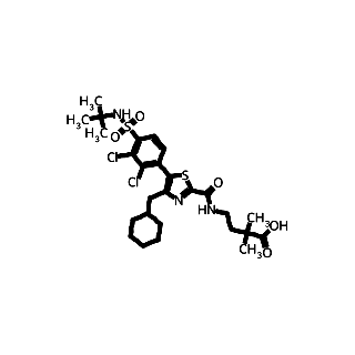 CC(C)(C)NS(=O)(=O)c1ccc(-c2sc(C(=O)NCCC(C)(C)C(=O)O)nc2CC2CCCCC2)c(Cl)c1Cl